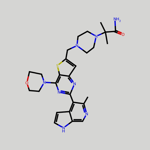 Cc1ncc2[nH]ccc2c1-c1nc(N2CCOCC2)c2sc(CN3CCN(C(C)(C)C(N)=O)CC3)cc2n1